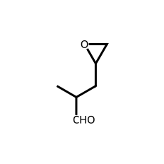 CC(C=O)CC1CO1